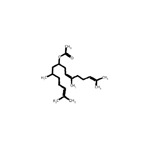 CC(=O)OC(CC=C(C)CCC=C(C)C)CC(C)CCC=C(C)C